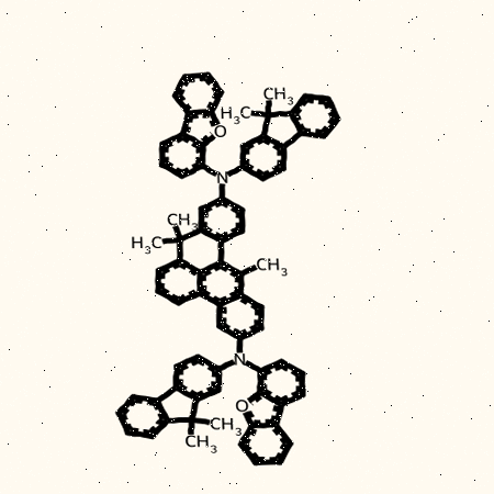 Cc1c2c3c(cccc3c3cc(N(c4ccc5c(c4)C(C)(C)c4ccccc4-5)c4cccc5c4oc4ccccc45)ccc13)C(C)(C)c1cc(N(c3ccc4c(c3)C(C)(C)c3ccccc3-4)c3cccc4c3oc3ccccc34)ccc1-2